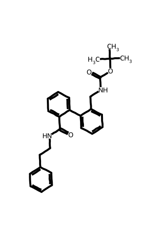 CC(C)(C)OC(=O)NCc1ccccc1-c1ccccc1C(=O)NCCc1ccccc1